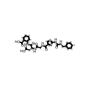 O=C(O)C[C@H](NC(=O)CNC(=O)c1csc(NC(=O)NCc2ccccc2)n1)C(=O)Nc1ccccc1C(=O)O